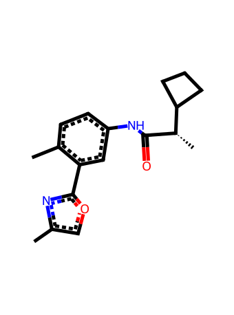 Cc1coc(-c2cc(NC(=O)[C@@H](C)C3CCC3)ccc2C)n1